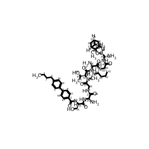 CCCCc1ccc(-c2ccc(C(=O)N[C@H](CO)C(=O)N[C@H](N)C(=O)NCC(=O)N(C)[C@H](C(=O)N[C@@H](N)C(=O)N[C@@H](CCCCN)C(=O)N[C@@H](N)B3OC4C[C@@H]5C[C@@H](C5(C)C)[C@]4(C)O3)C(C)O)cc2)cc1